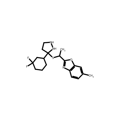 Cc1ccc2nc(C(C)SC3(C4CCCC(F)(F)C4)CCNN3)oc2c1